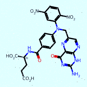 Nc1nc(=O)c2nc(CN(c3ccc(C(=O)N[C@@H](CCC(=O)O)C(=O)O)cc3)c3cc([N+](=O)[O-])[c]cc3[N+](=O)[O-])cnc2[nH]1